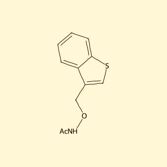 CC(=O)NOCc1csc2ccccc12